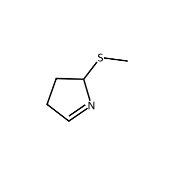 CSC1CCC=N1